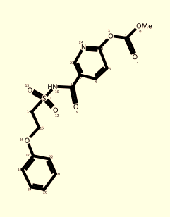 COC(=O)Oc1ccc(C(=O)NS(=O)(=O)CCOc2ccccc2)cn1